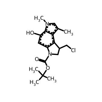 Cc1cn(C)c2c(O)cc3c(c12)C(CCl)CN3C(=O)OC(C)(C)C